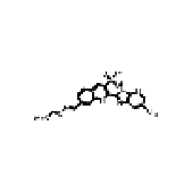 CCS(=O)(=O)c1cc2ccc(/C=N/OCSC)cc2nc1-c1nc2cc(C(F)(F)F)cnc2n1C